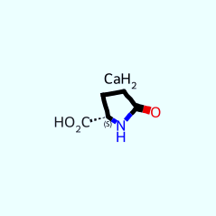 O=C1CC[C@@H](C(=O)O)N1.[CaH2]